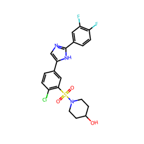 O=S(=O)(c1cc(-c2cnc(-c3ccc(F)c(F)c3)[nH]2)ccc1Cl)N1CCC(O)CC1